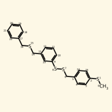 CSc1ccc(CSSc2cccc(CSCc3ccccc3)c2)cc1